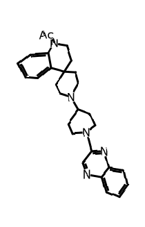 CC(=O)N1CCC2(CCN(C3CCN(c4cnc5ccccc5n4)CC3)CC2)c2ccccc21